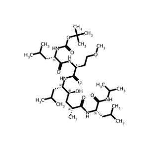 COCC[C@H](NC(=O)[C@H](CC(C)C)NC(=O)OC(C)(C)C)C(=O)N[C@@H](CC(C)C)[C@@H](O)C[C@@H](C)C(=O)N[C@@H](CC(C)C)C(=O)NC(C)C